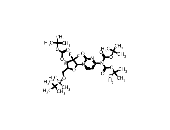 CC(C)(C)OC(=O)O[C@H]1C(CO[Si](C)(C)C(C)(C)C)OC(n2ccc(N(C(=O)OC(C)(C)C)C(=O)OC(C)(C)C)nc2=O)C1(F)F